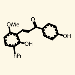 CCCc1ccc(OC)c(C=CC(=O)c2ccc(O)cc2)c1O